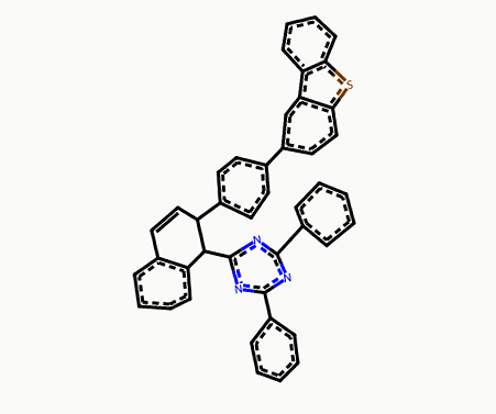 C1=CC(c2ccc(-c3ccc4sc5ccccc5c4c3)cc2)C(c2nc(-c3ccccc3)nc(-c3ccccc3)n2)c2ccccc21